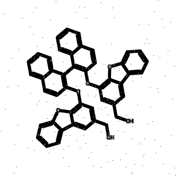 OCc1cc(Oc2ccc3ccccc3c2-c2c(Oc3cc(CO)cc4c3oc3ccccc34)ccc3ccccc23)c2oc3ccccc3c2c1